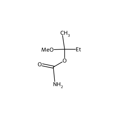 CCC(C)(OC)OC(N)=O